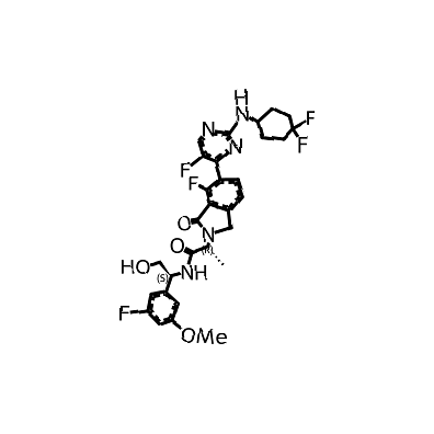 COc1cc(F)cc([C@@H](CO)NC(=O)[C@@H](C)N2Cc3ccc(-c4nc(NC5CCC(F)(F)CC5)ncc4F)c(F)c3C2=O)c1